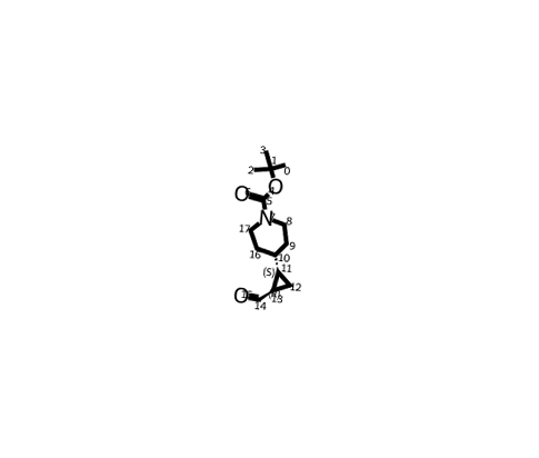 CC(C)(C)OC(=O)N1CCC([C@@H]2C[C@H]2C=O)CC1